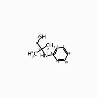 CC(C)(CS)Nc1ccccc1